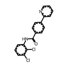 O=C(Nc1cccc(Cl)c1Cl)c1ccc(-c2ccccn2)cc1